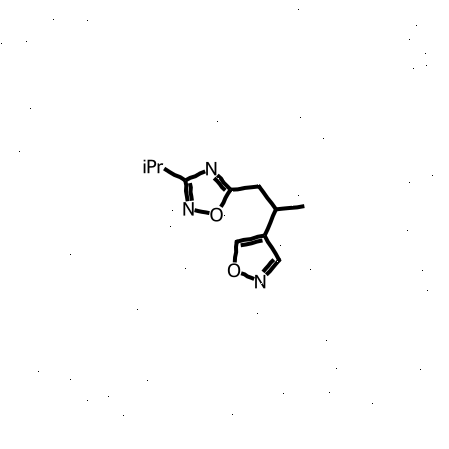 CC(C)c1noc(CC(C)c2cnoc2)n1